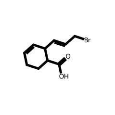 O=C(O)C1CCC=CC1C=CCBr